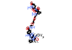 CC[C@@H]1C(=O)N(C)c2cnc(Nc3ccc(C(=O)NCCOCCOCCNc4cccc5c4C(=O)N(C4CCC(=O)NC4=O)C5=O)cc3)nc2N1C1CCCC1